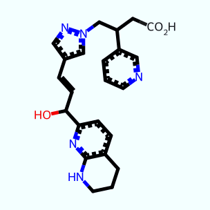 O=C(O)CC(Cn1cc(C=CC(O)c2ccc3c(n2)NCCC3)cn1)c1cccnc1